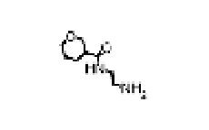 NCCNC(=O)C1CCCOC1